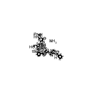 CC(C)C(=O)Nc1nc2c(ncn2[C@@H]2S[C@H](CO)[C@@H](O[Si](C)(C)C(C)(C)C)[C@H]2OP(O)(=S)OC[C@H]2O[C@@H](n3cnc4c(NC(=O)c5ccccc5)ncnc43)[C@@H](F)[C@@H]2OC(=O)c2ccccc2)c(=O)[nH]1.N